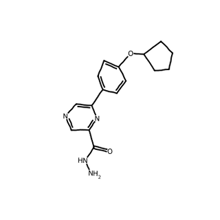 NNC(=O)c1cncc(-c2ccc(OC3CCCC3)cc2)n1